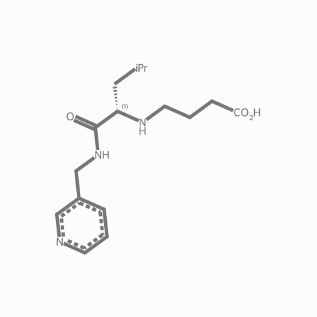 CC(C)C[C@H](NCCCC(=O)O)C(=O)NCc1cccnc1